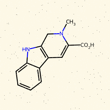 CN1Cc2[nH]c3ccccc3c2C=C1C(=O)O